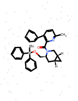 Cc1ccc(-c2ccccc2)c(C(=O)N2C[C@@H]3C[C@@H]3C[C@H]2CO[Si](c2ccccc2)(c2ccccc2)C(C)(C)C)n1